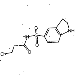 O=C(CCCl)NS(=O)(=O)c1ccc2c(c1)CCN2